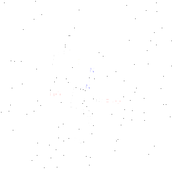 Cc1csc(C2(O)c3ccccc3C(=O)N2N(C)C)c1